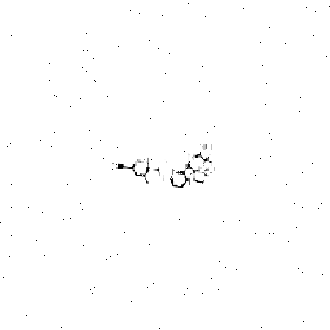 Cc1cc(C#N)cnc1C(=O)Nc1ccc(F)c([C@@]2(C)N=C(N)C(C)(C)[SH]3(=O)NCC[C@@H]23)n1